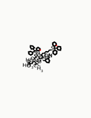 CC(C)[C@@H](NC(=O)[C@@H](CSC(c1ccccc1)(c1ccccc1)c1ccccc1)NC(=O)[C@@H](Cc1cccc(C#N)c1)NC(=O)C[C@H](O)/C=C/CCSC(c1ccccc1)(c1ccccc1)c1ccccc1)[C@@H](O)CC(=O)O